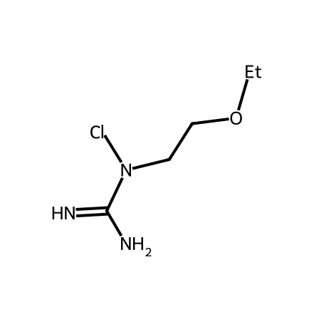 CCOCCN(Cl)C(=N)N